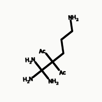 CC(=O)C(CCCN)(C(C)=O)C(N)(N)N